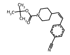 CC(C)(C)OC(=O)N1CCC(/C=C\c2ccc(C#N)cc2)CC1